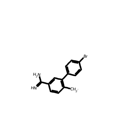 [CH2]c1ccc(C(=N)N)cc1-c1ccc(Br)cc1